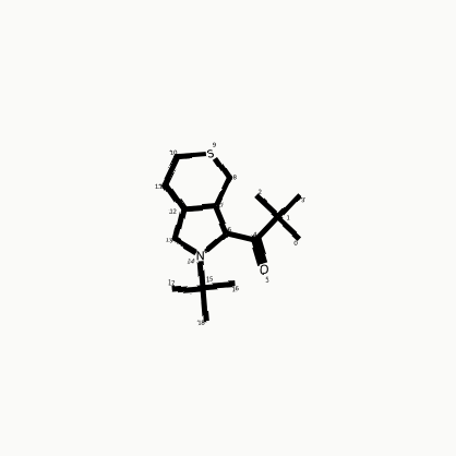 CC(C)(C)C(=O)C1C2CSCCC2CN1C(C)(C)C